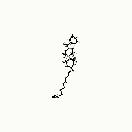 CCCCCCCCCCCCCCCCCCOC1CC(C)(C)N(N2C(C)(C)CC(C(=O)c3ccccc3)CC2(C)C)C(C)(C)C1